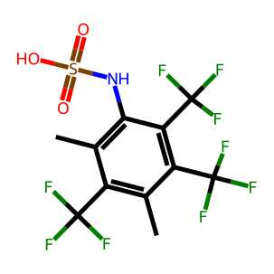 Cc1c(NS(=O)(=O)O)c(C(F)(F)F)c(C(F)(F)F)c(C)c1C(F)(F)F